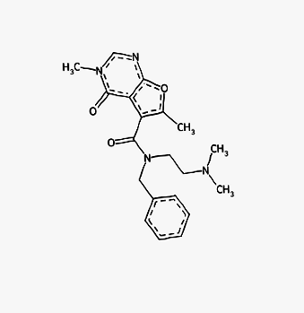 Cc1oc2ncn(C)c(=O)c2c1C(=O)N(CCN(C)C)Cc1ccccc1